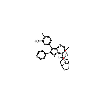 CCOC(=O)N1C2CCC1CC(c1ccnc3c(-c4ccc(C)c(O)c4)c(-c4ccncc4)nn13)C2